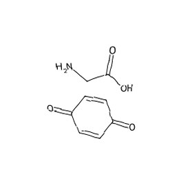 NCC(=O)O.O=C1C=CC(=O)C=C1